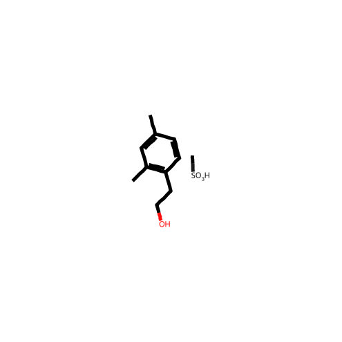 CS(=O)(=O)O.Cc1ccc(CCO)c(C)c1